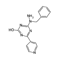 NN(Cc1ccccc1)c1nc(O)nc(-c2ccncc2)n1